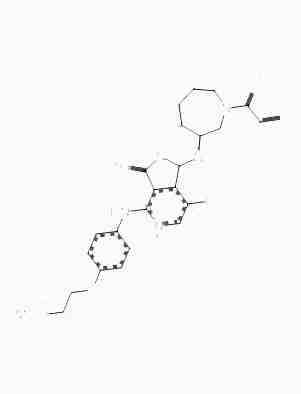 C=CC(=O)N1CCCCC(NC2NC(=O)c3c(Nc4ccc(OCCOC)cc4)ncc(F)c32)C1